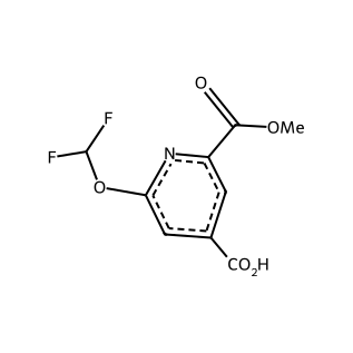 COC(=O)c1cc(C(=O)O)cc(OC(F)F)n1